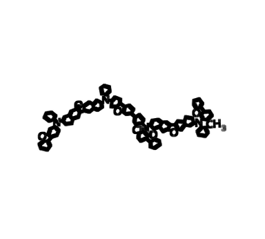 Cc1ccccc1N(c1ccc2cc3c(cc2c1)oc1cc2cc(N(c4ccc(-c5ccc6c(c5)oc5cc(N(c7ccccc7)c7ccc8cc9c(cc8c7)oc7cc8cc(N(c%10ccccc%10)c%10ccc%11c(c%10)oc%10ccccc%10%11)ccc8cc79)ccc56)cc4C)c4cccc5c4oc4ccccc45)ccc2cc13)c1cccc2c1oc1ccccc12